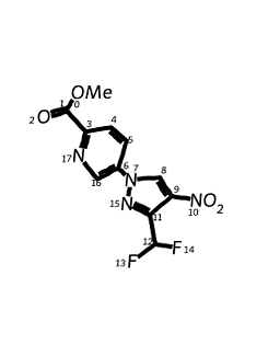 COC(=O)c1ccc(-n2cc([N+](=O)[O-])c(C(F)F)n2)cn1